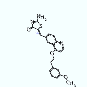 COc1cccc(CCOc2ccnc3ccc(/C=C4\SC(N)=NC4=O)cc23)c1